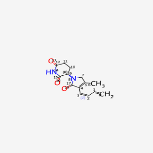 C=C/C=C\C1=C(C)CN([C@@H]2CCC(=O)NC2=O)C1=O